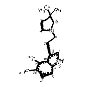 CC1(O)CCN(CCc2c[nH]c3ccc(F)c(F)c23)C1